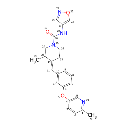 Cc1ccc(Oc2cccc(/C=C3\CCN(C(=O)Nc4cnoc4)CC3C)c2)cn1